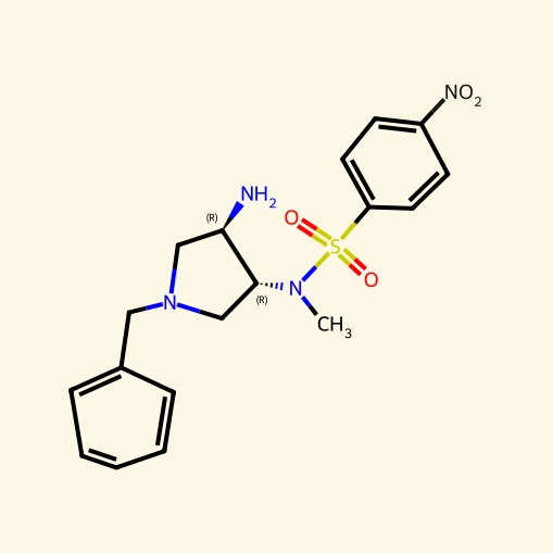 CN([C@@H]1CN(Cc2ccccc2)C[C@H]1N)S(=O)(=O)c1ccc([N+](=O)[O-])cc1